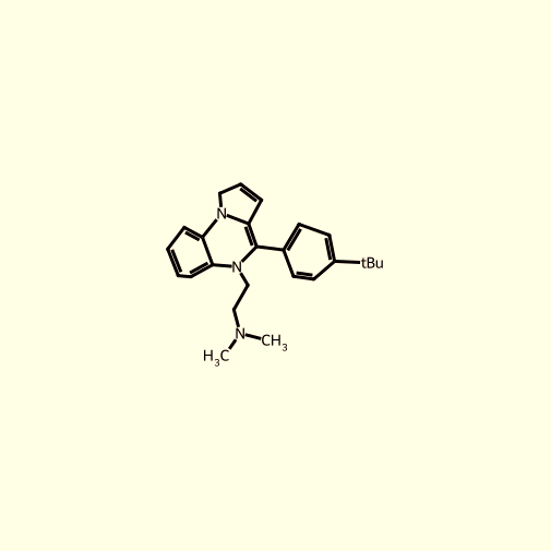 CN(C)CCN1C(c2ccc(C(C)(C)C)cc2)=C2C=CCN2c2ccccc21